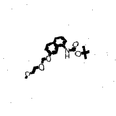 COCCOCOc1ccc2cccc(NC(=O)OC(C)(C)C)c2c1